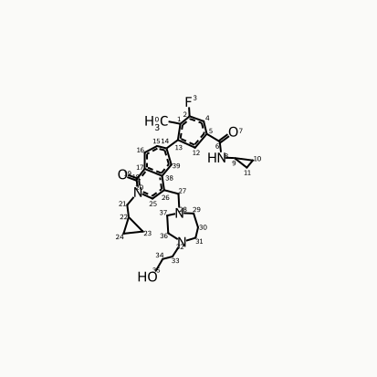 Cc1c(F)cc(C(=O)NC2CC2)cc1-c1ccc2c(=O)n(CC3CC3)cc(CN3CCCN(CCO)CC3)c2c1